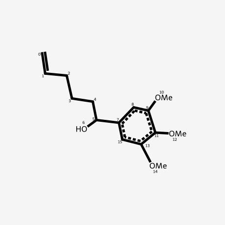 C=CCCCC(O)c1cc(OC)c(OC)c(OC)c1